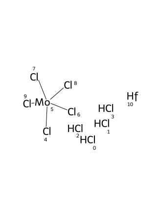 Cl.Cl.Cl.Cl.[Cl][Mo]([Cl])([Cl])([Cl])[Cl].[Hf]